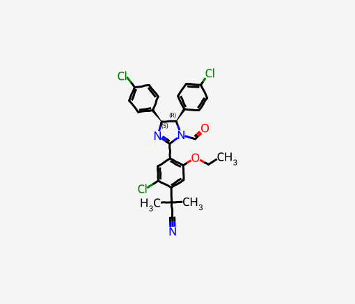 CCOc1cc(C(C)(C)C#N)c(Cl)cc1C1=N[C@@H](c2ccc(Cl)cc2)[C@@H](c2ccc(Cl)cc2)N1C=O